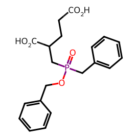 O=C(O)CCC(CP(=O)(Cc1ccccc1)OCc1ccccc1)C(=O)O